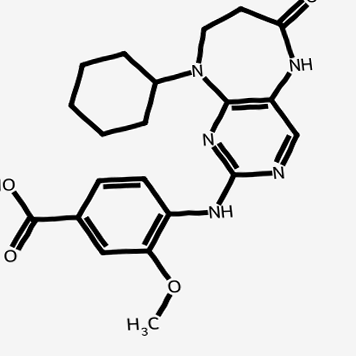 COc1cc(C(=O)O)ccc1Nc1ncc2c(n1)N(C1CCCCC1)CCC(=O)N2